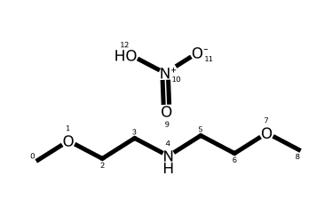 COCCNCCOC.O=[N+]([O-])O